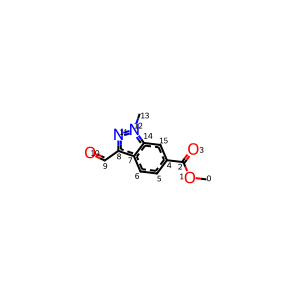 COC(=O)c1ccc2c(C=O)nn(C)c2c1